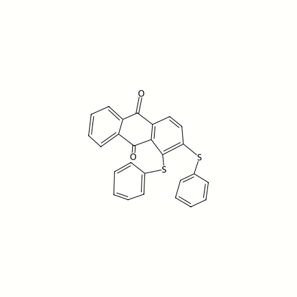 O=C1c2ccccc2C(=O)c2c1ccc(Sc1ccccc1)c2Sc1ccccc1